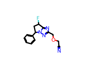 N#CCOCc1nc2n(n1)C(c1ccccc1)CC2F